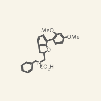 COc1ccc(-c2cccc3c2OC(CN(Cc2ccccc2)C(=O)O)C3)c(OC)c1